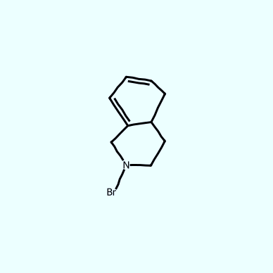 BrN1CCC2CC=CC=C2C1